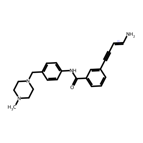 CN1CCN(Cc2ccc(NC(=O)c3cccc(C#C/C=C/N)c3)cc2)CC1